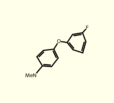 CNc1ccc(Oc2cccc(F)c2)cc1